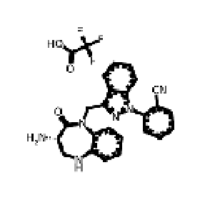 N#Cc1ccccc1-n1nc(CN2C(=O)[C@@H](N)CNc3ccccc32)c2ccccc21.O=C(O)C(F)(F)F